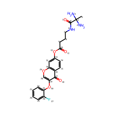 CC(N)(N)C(=O)NCCCC(=O)Oc1ccc2c(=O)c(Oc3ccccc3F)coc2c1